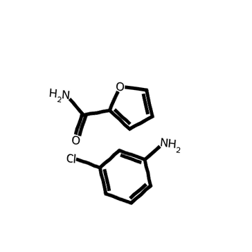 NC(=O)c1ccco1.Nc1cccc(Cl)c1